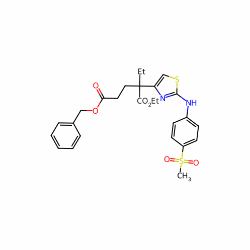 CCOC(=O)C(CC)(CCC(=O)OCc1ccccc1)c1csc(Nc2ccc(S(C)(=O)=O)cc2)n1